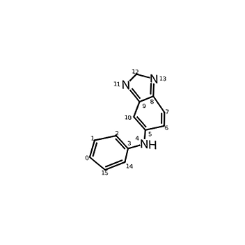 c1ccc(Nc2ccc3c(c2)=NCN=3)cc1